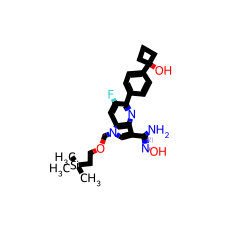 C[Si](C)(C)CCOCn1cc(/C(N)=N/O)c2nc(-c3ccc(C4(O)CCC4)cc3)c(F)cc21